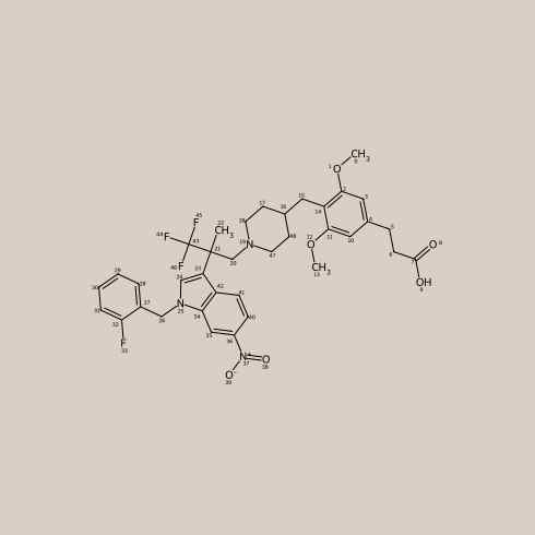 COc1cc(CCC(=O)O)cc(OC)c1CC1CCN(CC(C)(c2cn(Cc3ccccc3F)c3cc([N+](=O)[O-])ccc23)C(F)(F)F)CC1